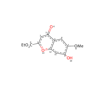 CCOC(=O)c1cc(=O)c2cc(OC)c(O)cc2o1